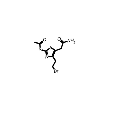 CC(=O)Sc1nc(CCBr)c(CC(N)=O)s1